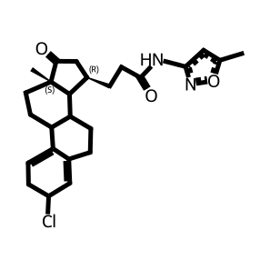 Cc1cc(NC(=O)CC[C@@H]2CC(=O)[C@@]3(C)CCC4C5=CCC(Cl)C=C5CCC4C23)no1